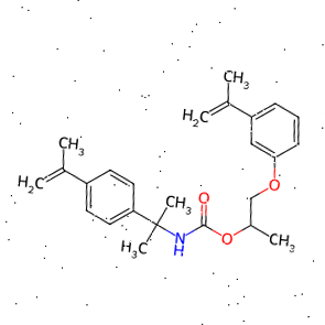 C=C(C)c1ccc(C(C)(C)NC(=O)OC(C)COc2cccc(C(=C)C)c2)cc1